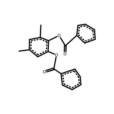 Cc1cc(C)c(OC(=O)c2ccccc2)c(OC(=O)c2ccccc2)c1